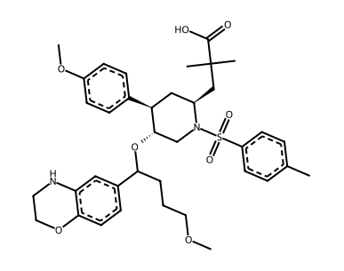 COCCCC(O[C@H]1CN(S(=O)(=O)c2ccc(C)cc2)[C@H](CC(C)(C)C(=O)O)C[C@@H]1c1ccc(OC)cc1)c1ccc2c(c1)NCCO2